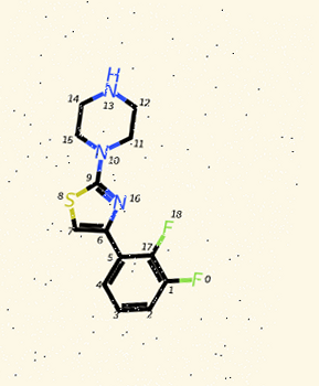 Fc1cccc(-c2csc(N3CCNCC3)n2)c1F